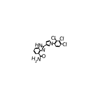 NC(=O)c1cccc2[nH]c(-c3ccn(-c4ccc(Cl)c(Cl)c4Cl)c3)nc12